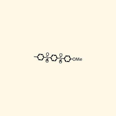 COc1ccc(S(=O)(=O)c2ccc(S(=O)(=O)c3ccc(C)cc3)cc2)cc1